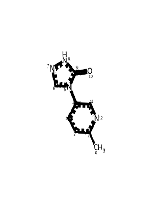 Cc1ccc(-n2cn[nH]c2=O)cn1